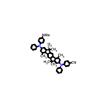 CNc1ccc(N(c2ccccc2)c2cc(C)c3c(c2)C(C)(C)c2cc4c(cc2-3)C(C)(C)c2cc(N(c3ccccc3)c3ccc(C#N)cc3)cc(C)c2-4)cc1